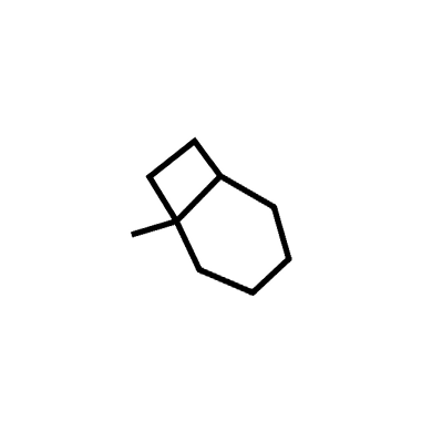 CC12CCCCC1CC2